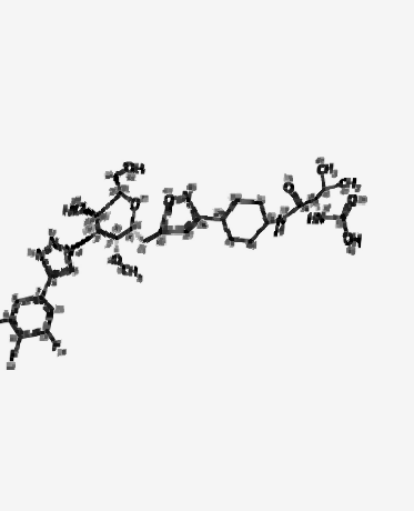 CO[C@@H]1[C@@H](n2cc(-c3cc(F)c(F)c(F)c3)nn2)[C@@H](O)[C@@H](CO)O[C@@H]1Cc1cc(C2CCC(NC(=O)[C@@H](NC(=O)O)C(C)C)CC2)no1